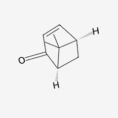 CC1(C)[C@H]2C=CC(=O)[C@@H]1C2